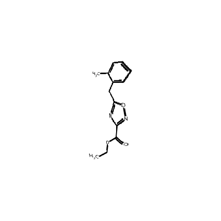 CCOC(=O)c1noc(Cc2ccccc2C)n1